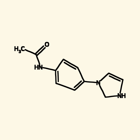 CC(=O)Nc1ccc(N2C=CNC2)cc1